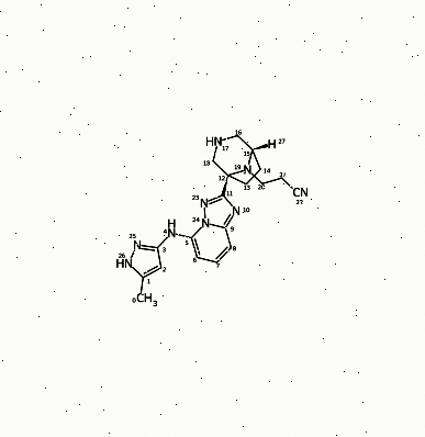 Cc1cc(Nc2cccc3nc([C@@]45CC[C@@H](CNC4)N5CCC#N)nn23)n[nH]1